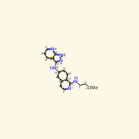 COCCNc1nccc2cc(Nc3n[nH]c4ncccc34)ccc12